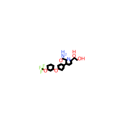 NC(=O)c1nc([C@H](O)CO)ccc1-c1ccc(Oc2cccc(OC(F)(F)F)c2)cc1